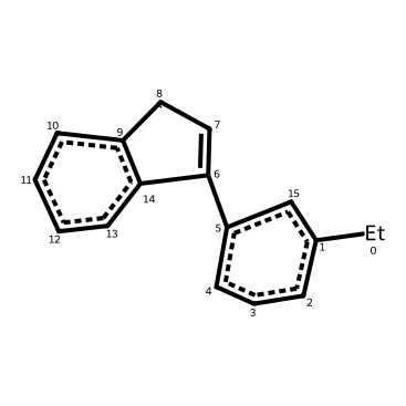 CCc1cccc(C2=C[CH]c3ccccc32)c1